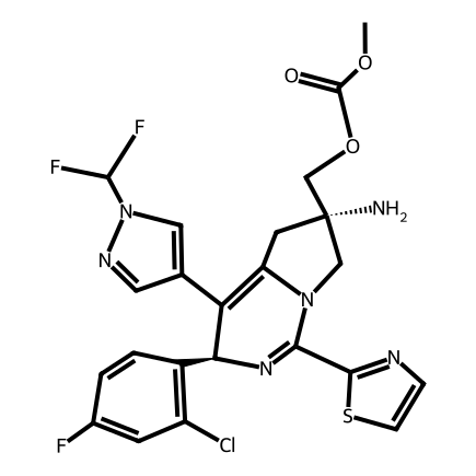 COC(=O)OC[C@]1(N)CC2=C(c3cnn(C(F)F)c3)[C@H](c3ccc(F)cc3Cl)N=C(c3nccs3)N2C1